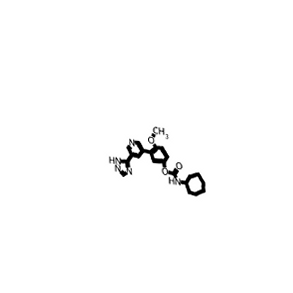 COc1ccc(OC(=O)NC2CCCCCC2)cc1-c1cncc(-c2ncn[nH]2)c1